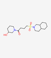 O=C(CCCS(=O)(=O)N1CCC2CCCCC2C1)N1CCCC(O)C1